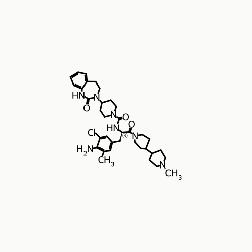 Cc1cc(C[C@@H](NC(=O)N2CCC(N3CCc4ccccc4NC3=O)CC2)C(=O)N2CCC(C3CCN(C)CC3)CC2)cc(Cl)c1N